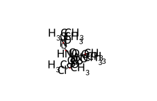 Cc1cc(S(=O)(=O)N2c3ccccc3N(CC(=O)OC(C)(C)C)C(=O)[C@H]2CC(=O)NCCC2CCN(CC(=O)OC(C)(C)C)CC2)c(C)cc1Cl